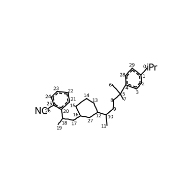 CC(C)c1ccc(C(C)(C)CCC(C)C2CCCC(CC(C)c3ccccc3C#N)C2)cc1